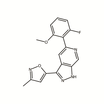 COc1cccc(F)c1-c1cc2c(-c3cc(C)no3)n[nH]c2cn1